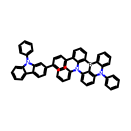 c1ccc(N2c3ccccc3B3c4cccc(-c5ccc(-c6ccc7c8ccccc8n(-c8ccccc8)c7c6)cc5)c4N(c4ccccc4)c4cccc2c43)cc1